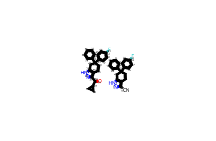 N#Cc1n[nH]c2c1C=CC(c1ccccc1)(c1ccc(F)cc1)C2.O=C(c1n[nH]c2c1C=CC(c1ccccc1)(c1ccc(F)cc1)C2)C1CC1